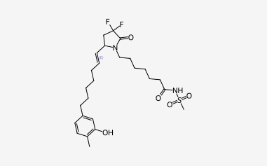 Cc1ccc(CCCCC/C=C/C2CC(F)(F)C(=O)N2CCCCCCC(=O)NS(C)(=O)=O)cc1O